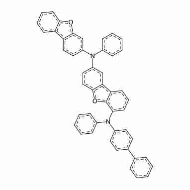 c1ccc(-c2ccc(N(c3ccccc3)c3cccc4c3oc3ccc(N(c5ccccc5)c5ccc6c(c5)oc5ccccc56)cc34)cc2)cc1